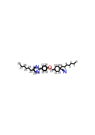 CCCCCCCC1(C#N)CCC(COc2ccc(-c3ncc(CCCCCC)cn3)cc2)CC1